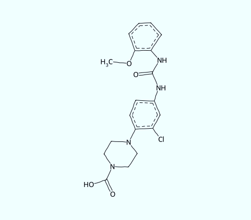 COc1ccccc1NC(=O)Nc1ccc(N2CCN(C(=O)O)CC2)c(Cl)c1